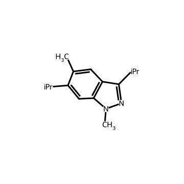 Cc1cc2c(C(C)C)nn(C)c2cc1C(C)C